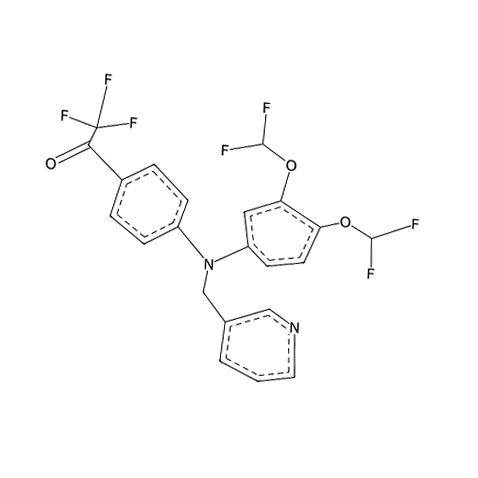 O=C(c1ccc(N(Cc2cccnc2)c2ccc(OC(F)F)c(OC(F)F)c2)cc1)C(F)(F)F